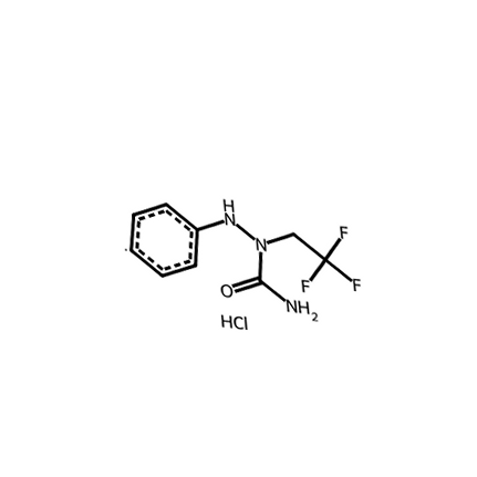 Cl.NC(=O)N(CC(F)(F)F)Nc1cc[c]cc1